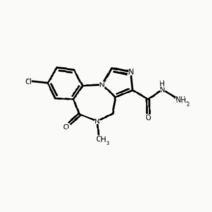 CN1Cc2c(C(=O)NN)ncn2-c2ccc(Cl)cc2C1=O